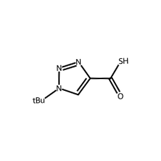 CC(C)(C)n1cc(C(=O)S)nn1